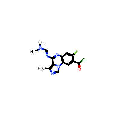 Cc1ncn2c1c(/N=C/N(C)C)nc1cc(F)c(C(=O)Cl)cc12